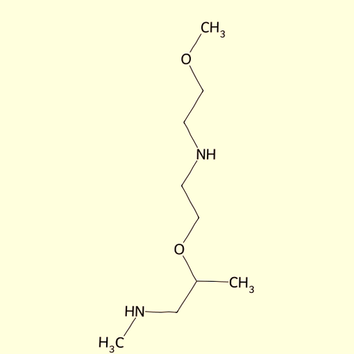 CNCC(C)OCCNCCOC